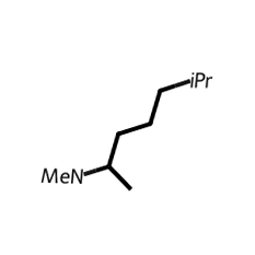 CNC(C)CCCC(C)C